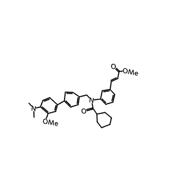 COC(=O)/C=C/c1cccc(N(Cc2ccc(-c3ccc(N(C)C)c(OC)c3)cc2)C(=O)C2CCCCC2)c1